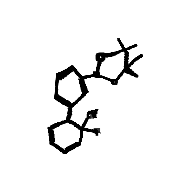 CC1(C)OB(c2cccc(C3C=CC=CC3(F)C#N)c2)OC1(C)C